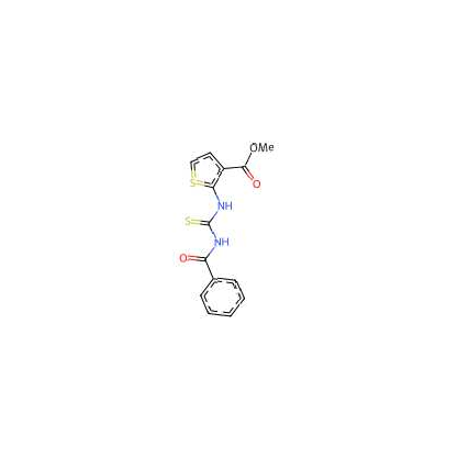 COC(=O)c1ccsc1NC(=S)NC(=O)c1ccccc1